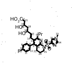 CC(C)c1nc2c(c(-c3ccc(F)cc3)c1/C=C/[C@@H](O)C[C@@H](O)CC(=O)O)CCCN2S(=O)(=O)c1cn(C)cn1